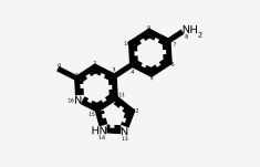 Cc1cc(-c2ccc(N)cc2)c2cn[nH]c2n1